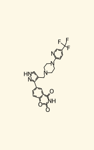 O=c1[nH]c(=O)c2cc(-c3n[nH]cc3CN3CCN(c4ccc(C(F)(F)F)cn4)CC3)ccc2o1